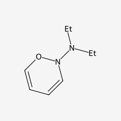 CCN(CC)N1C=CC=CO1